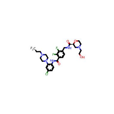 O=C(Nc1ccc(Cl)cc1N1CCN(CCC(F)(F)F)CC1)c1ccc(CNC(=O)[C@@H]2CN(CCO)CCO2)c(F)c1F